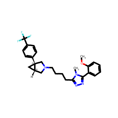 COc1ccccc1-c1nnc(CCCCN2C[C@@H]3C[C@]3(c3ccc(C(F)(F)F)cc3)C2)n1C